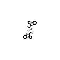 O=C(NNC(=O)c1nc2ccccc2n2cccc12)c1nc2ccccc2n2cccc12